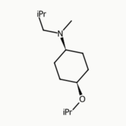 CC(C)CN(C)[C@H]1CC[C@@H](OC(C)C)CC1